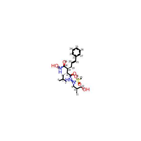 CC(C)C[C@@H](C(=O)NN(C[C@H](C)CO)S(C)(=O)=O)[C@H](CC=Cc1ccccc1)C(=O)NO